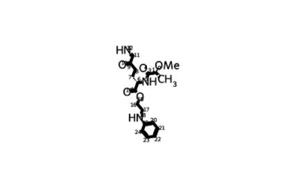 CO[C@H](C)C(=O)N[C@@H](CCC(=O)C=N)C(=O)OCCNc1ccccc1